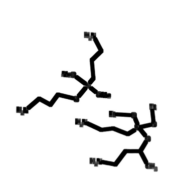 CCO[Si](CCCN)(OCC)OC(C)CCN.CO[Si](CCCN)(OC)OCCCN